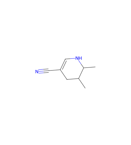 CC1CC(C#N)=CNC1C